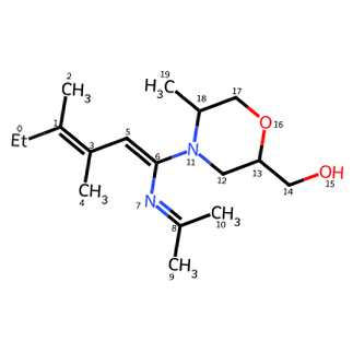 CC/C(C)=C(C)/C=C(\N=C(C)C)N1CC(CO)OCC1C